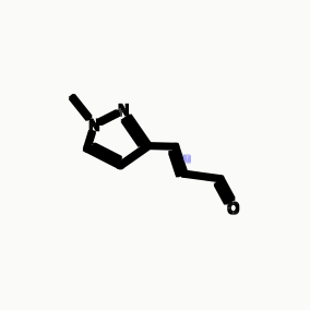 Cn1ccc(/C=C/C=O)n1